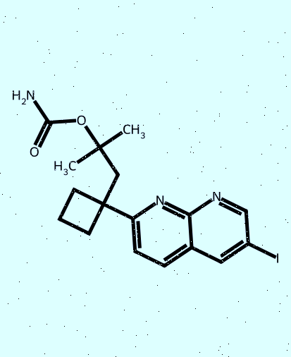 CC(C)(CC1(c2ccc3cc(I)cnc3n2)CCC1)OC(N)=O